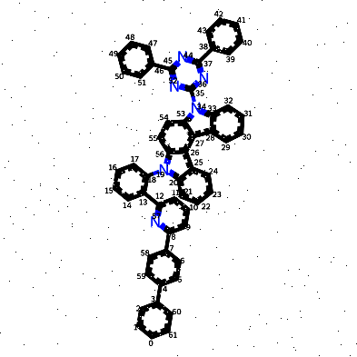 c1ccc(-c2ccc(-c3cccc(-c4ccccc4-n4c5ccccc5c5c6c7ccccc7n(-c7nc(-c8ccccc8)nc(-c8ccccc8)n7)c6ccc54)n3)cc2)cc1